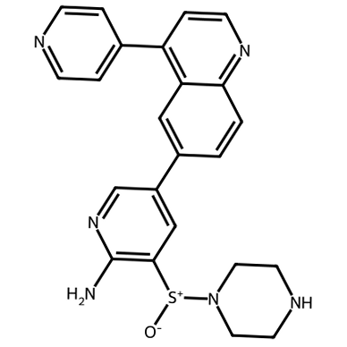 Nc1ncc(-c2ccc3nccc(-c4ccncc4)c3c2)cc1[S+]([O-])N1CCNCC1